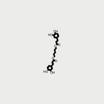 O=C(/C=C/c1ccc(O)c(O)c1)OCCCCCOC(=O)/C=C/c1ccc(O)c(O)c1